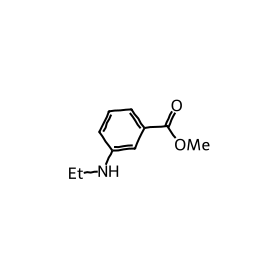 CCNc1cccc(C(=O)OC)c1